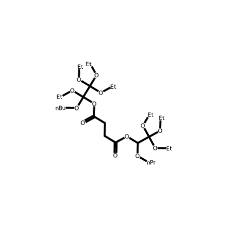 CCCCOC(OCC)(OC(=O)CCC(=O)OC(OCCC)C(OCC)(OCC)OCC)C(OCC)(OCC)OCC